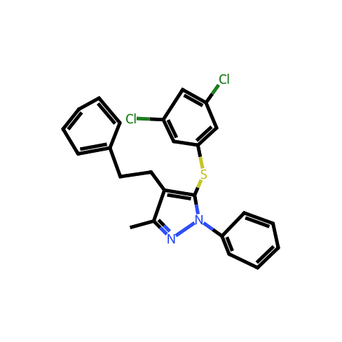 Cc1nn(-c2ccccc2)c(Sc2cc(Cl)cc(Cl)c2)c1CCc1ccccc1